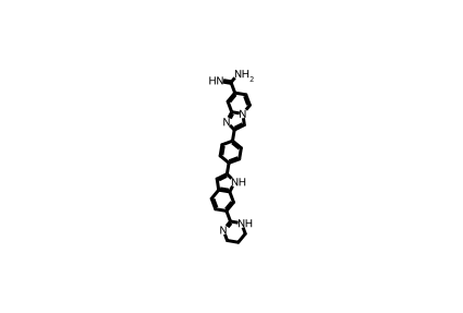 N=C(N)c1ccn2cc(-c3ccc(-c4cc5ccc(C6=NCCCN6)cc5[nH]4)cc3)nc2c1